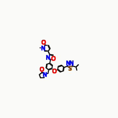 CC(C)c1nnc(-c2ccc(Oc3cc(-c4nc(-c5ccc(=O)n(C)c5)co4)ccc3CN3CCCC3=O)cc2)s1